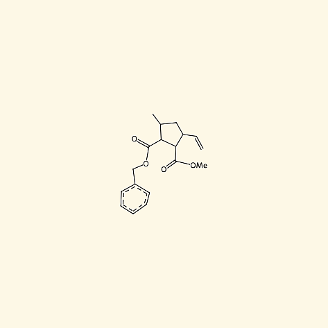 C=CC1CC(C)C(C(=O)OCc2ccccc2)C1C(=O)OC